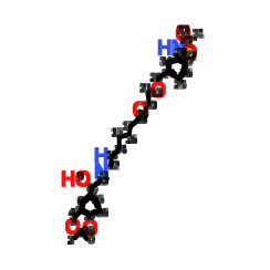 CC1(C)OCc2cc([C@H](O)CNCCCCCCCOCCOCc3cccc(NS(C)(=O)=O)c3)ccc2O1